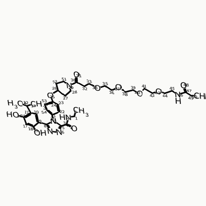 CCNC(=O)c1nnc(-c2cc(C(C)C)c(O)cc2O)n1-c1ccc(OC2CCN(C(=O)CCOCCOCCOCCOCCNC(=O)CC)CC2)cc1